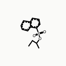 CCC(C)OS(=O)(=O)c1cccc2ccccc12